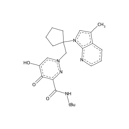 Cc1cn(C2(Cn3cc(O)c(=O)c(C(=O)NC(C)(C)C)n3)CCCC2)c2ncccc12